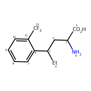 CCC(CC(N)C(=O)O)c1ccccc1C(F)(F)F